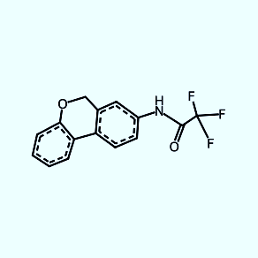 O=C(Nc1ccc2c(c1)COc1ccccc1-2)C(F)(F)F